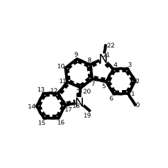 Cc1ccc2c(c1)c1c(ccc3c4ccccc4n(C)c31)n2C